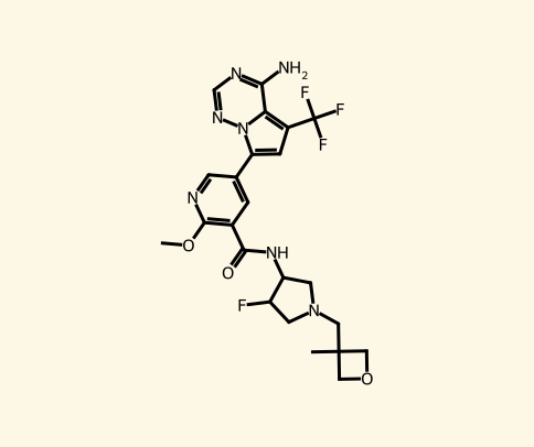 COc1ncc(-c2cc(C(F)(F)F)c3c(N)ncnn23)cc1C(=O)NC1CN(CC2(C)COC2)CC1F